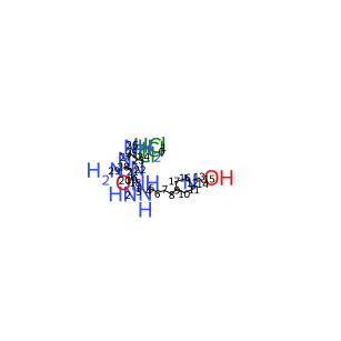 Cl.Cl.N=C(NCCCCC1CCN(CCO)CC1)NC(=O)c1nc(Cl)c(N)nc1N